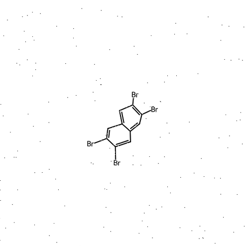 Brc1cc2cc(Br)c(Br)cc2cc1Br